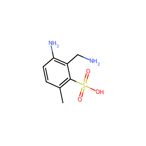 Cc1ccc(N)c(CN)c1S(=O)(=O)O